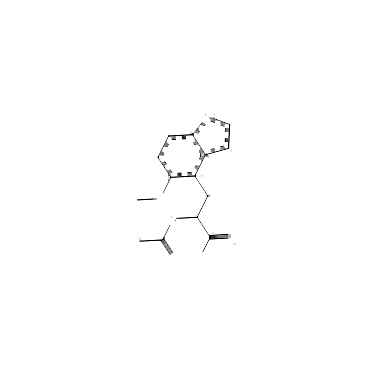 COc1ccc2[nH]ccc2c1CC(NC(C)=O)C(=O)O